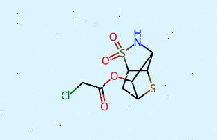 O=C(CCl)OC1C2CC3C(S2)C1NS3(=O)=O